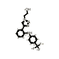 OCCn1cc(-c2ccccc2Nc2ccc(C(F)(F)F)cc2)nn1